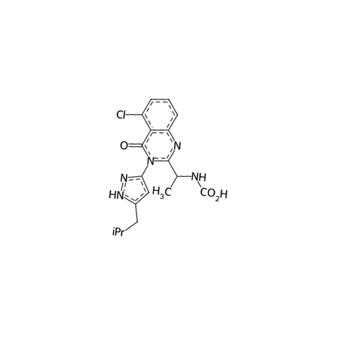 CC(C)Cc1cc(-n2c(C(C)NC(=O)O)nc3cccc(Cl)c3c2=O)n[nH]1